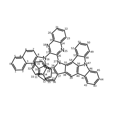 c1ccc2c(c1)ccc1c2c2ccccc2n1-c1nc2ccccc2nc1-n1c2c3ccccc3ccc2c2cc3c4ccccc4n4c5ccccc5c(c21)c34